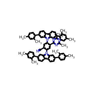 Cc1ccc(-c2ccc3c4ccc(-c5ccc(C)cc5C)cc4n(-c4cc(-c5nc(C)nc(C)n5)c(-n5c6cc(-c7ccc(C)cc7C)ccc6c6ccc(-c7ccc(C)cc7C)cc65)cc4C#N)c3c2)c(C)c1